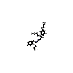 Cc1ccc2c(c1)N(CCO)/C(=C/C=C/c1sc3ccc(OCC[18F])cc3[n+]1CCO)S2